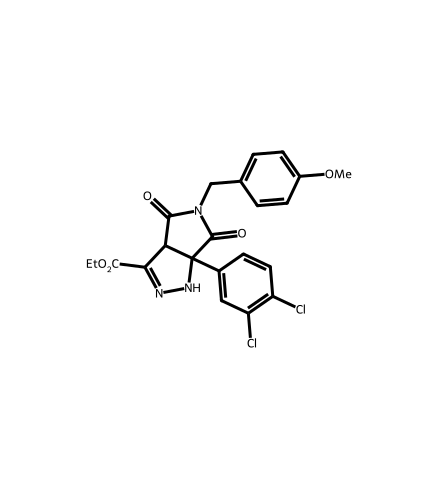 CCOC(=O)C1=NNC2(c3ccc(Cl)c(Cl)c3)C(=O)N(Cc3ccc(OC)cc3)C(=O)C12